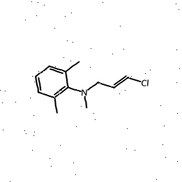 Cc1c[c]cc(C)c1N(C)CC=CCl